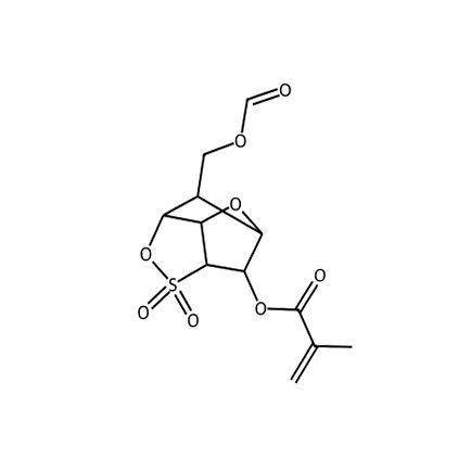 C=C(C)C(=O)OC1C2OC3C(OS(=O)(=O)C13)C2COC=O